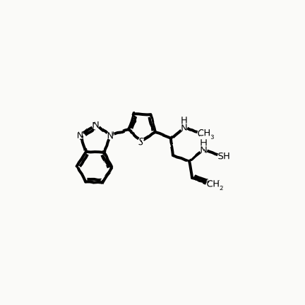 C=CC(CC(NC)c1ccc(-n2nnc3ccccc32)s1)NS